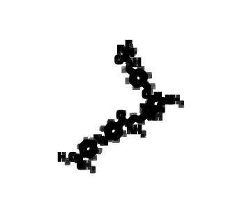 CN(C)c1ccc(N=Nc2ccc(C(=O)C(N)CCc3nc4c(OCc5ccc(CNC(=O)C(F)(F)F)cc5)nc(N)nc4[nH]3)cc2)cc1